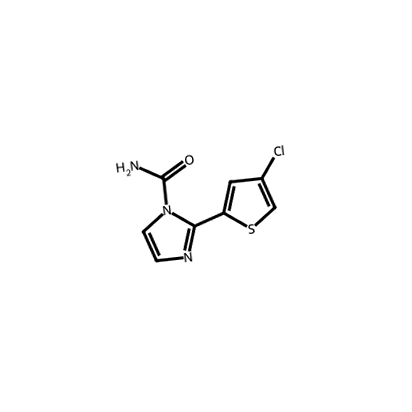 NC(=O)n1ccnc1-c1cc(Cl)cs1